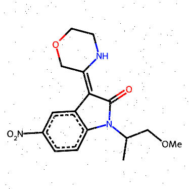 COCC(C)N1C(=O)/C(=C2/COCCN2)c2cc([N+](=O)[O-])ccc21